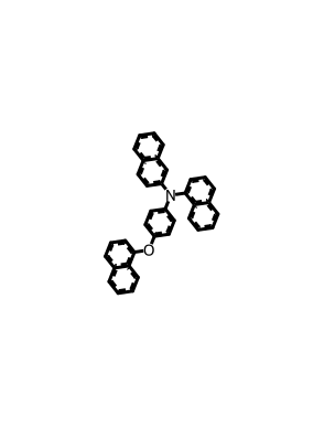 c1ccc2cc(N(c3ccc(Oc4cccc5ccccc45)cc3)c3cccc4ccccc34)ccc2c1